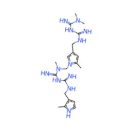 Cc1[nH]ccc1CNC(=N)NC(=N)N(C)Cn1cc(CNC(=N)NC(=N)N(C)C)cc1C